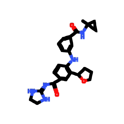 CC1(NC(=O)c2cccc(Nc3ccc(C(=O)N=C4NCCN4)cc3C3CCCO3)c2)CC1